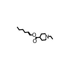 CCCCC=COC(=O)C1CCN(CC)CC1